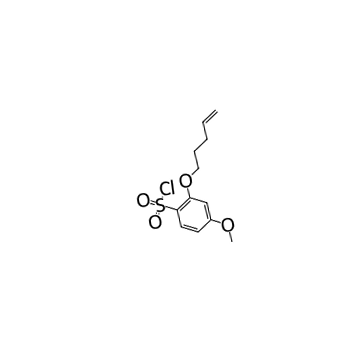 C=CCCCOc1cc(OC)ccc1S(=O)(=O)Cl